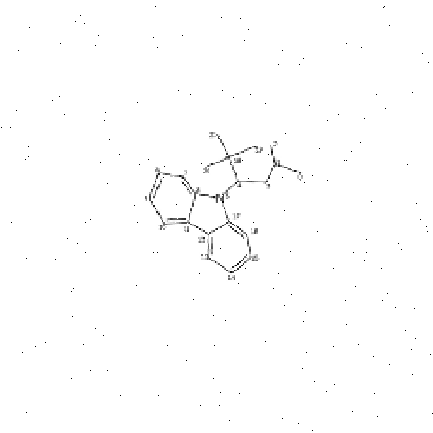 CC(C)CC(n1c2ccccc2c2ccccc21)C(C)(C)C